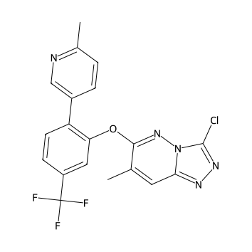 Cc1ccc(-c2ccc(C(F)(F)F)cc2Oc2nn3c(Cl)nnc3cc2C)cn1